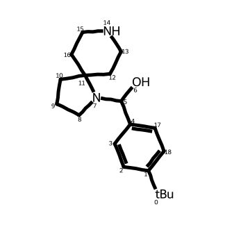 CC(C)(C)c1ccc(C(O)N2CCCC23CCNCC3)cc1